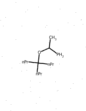 CCCC(CCC)(CCC)OC(C)P